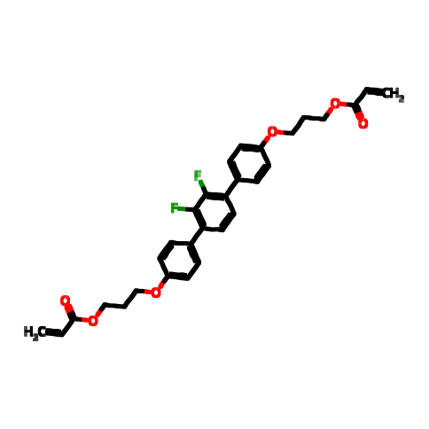 C=CC(=O)OCCCOc1ccc(-c2ccc(-c3ccc(OCCCOC(=O)C=C)cc3)c(F)c2F)cc1